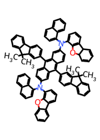 CC1(C)c2ccccc2-c2ccc(-c3c4ccc(N(c5cccc6ccccc56)c5cccc6c5oc5ccccc56)cc4c(-c4ccc5c(c4)C(C)(C)c4ccccc4-5)c4ccc(N(c5cccc6c5OC5C=CC=CC65)c5cccc6ccccc56)cc34)cc21